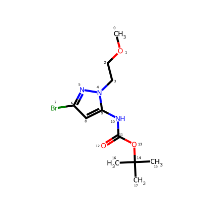 COCCn1nc(Br)cc1NC(=O)OC(C)(C)C